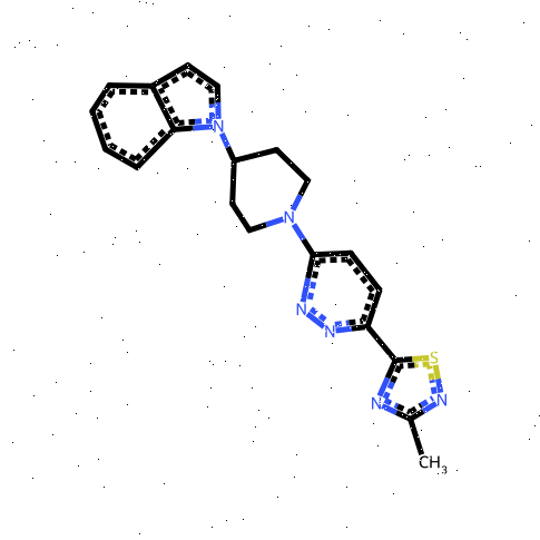 Cc1nsc(-c2ccc(N3CCC(n4ccc5ccccc54)CC3)nn2)n1